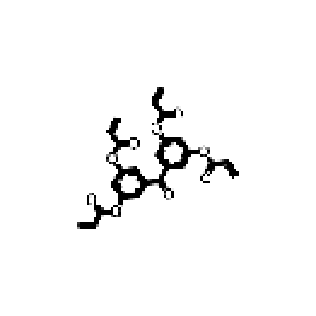 C=CC(=O)Oc1cc(OC(=O)C=C)cc(C(=O)c2cc(OC(=O)C=C)cc(OC(=O)C=C)c2)c1